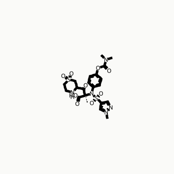 CN(C)C(=O)Oc1ccc(N([C@@](C)(C(=O)O)C(=O)C2CS(=O)(=O)CCN2)S(=O)(=O)c2cnn(C)c2)cc1